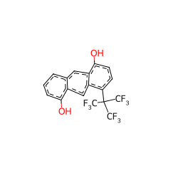 Oc1cccc2cc3c(O)ccc(C(C(F)(F)F)(C(F)(F)F)C(F)(F)F)c3cc12